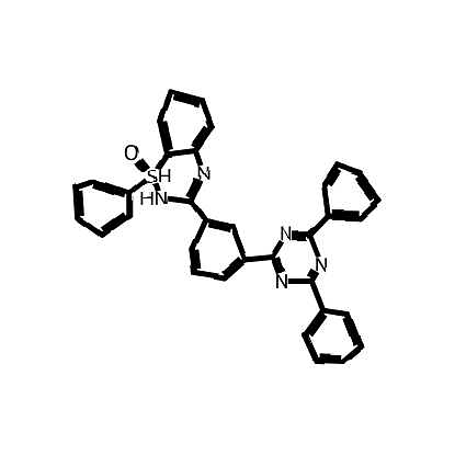 O=[SH]1(c2ccccc2)NC(c2cccc(-c3nc(-c4ccccc4)nc(-c4ccccc4)n3)c2)=Nc2ccccc21